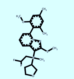 COc1cc(C)cc(C)c1-c1cccc2c([N+](C)(CC(F)F)C3CCOC3)c(SC)nn12